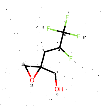 OCC1(CC(F)C(F)(F)F)CO1